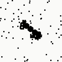 CC[C@](O)(C(=O)N1CCC(C2CCN(c3ccc(C(=O)N(C)C)c(Cl)c3)CC2)CC1)C(F)(F)F